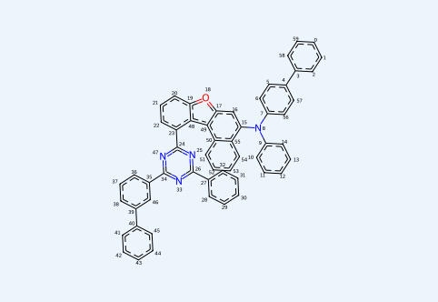 c1ccc(-c2ccc(N(c3ccccc3)c3cc4oc5cccc(-c6nc(-c7ccccc7)nc(-c7cccc(-c8ccccc8)c7)n6)c5c4c4ccccc34)cc2)cc1